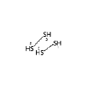 SS.SS